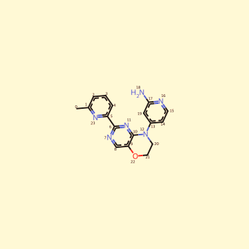 Cc1cccc(-c2ncc3c(n2)N(c2ccnc(N)c2)CCO3)n1